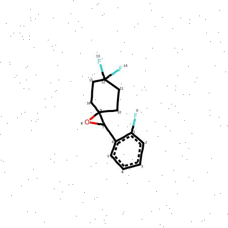 Fc1ccccc1C1OC12CCC(F)(F)CC2